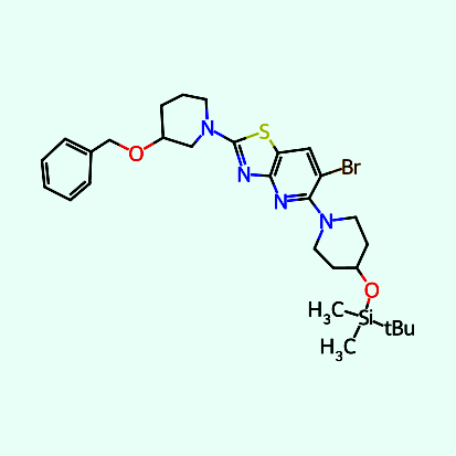 CC(C)(C)[Si](C)(C)OC1CCN(c2nc3nc(N4CCCC(OCc5ccccc5)C4)sc3cc2Br)CC1